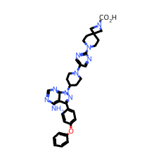 Nc1ncnc2c1c(-c1ccc(Oc3ccccc3)cc1)nn2C1CCN(c2cnc(N3CCC4(CC3)CN(C(=O)O)C4)nc2)CC1